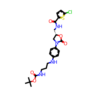 CC(C)(C)OC(=O)NCCCNc1ccc(N2C[C@H](CNC(=O)c3ccc(Cl)s3)OC2=O)cc1